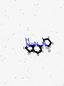 C[C@H]1CCCN1c1ccc2cc[nH]c2n1